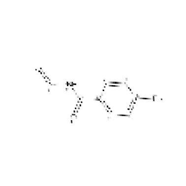 C=NNC(=O)c1ccc(F)cc1